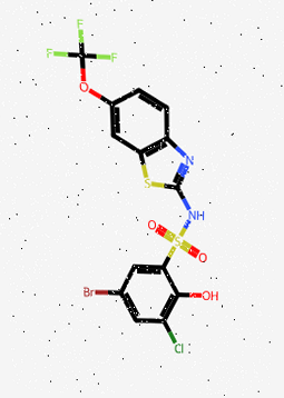 O=S(=O)(Nc1nc2ccc(OC(F)(F)F)cc2s1)c1cc(Br)cc(Cl)c1O